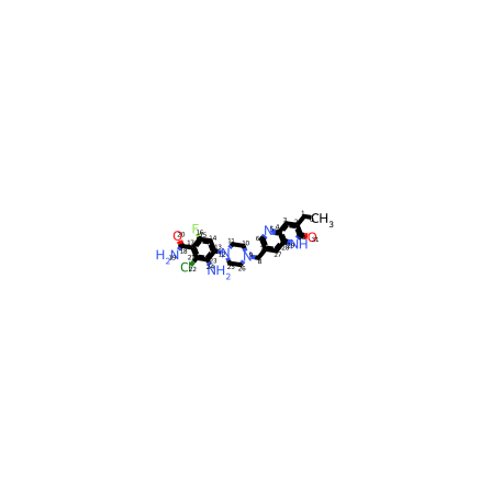 CCc1cc2ncc(CN3CCN(c4cc(F)c(C(N)=O)c(Cl)c4N)CC3)cc2[nH]c1=O